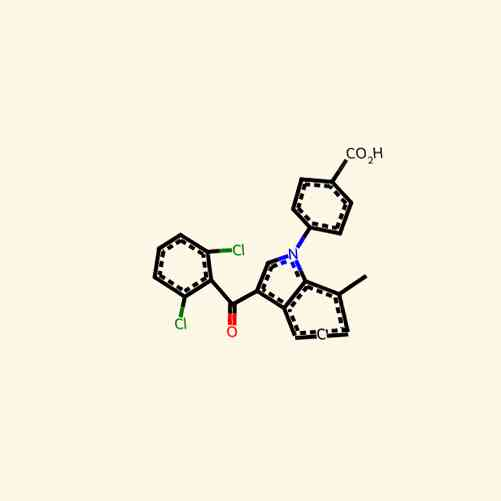 Cc1cccc2c(C(=O)c3c(Cl)cccc3Cl)cn(-c3ccc(C(=O)O)cc3)c12